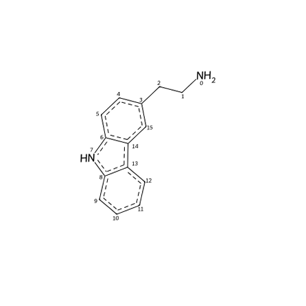 NCCc1ccc2[nH]c3ccccc3c2c1